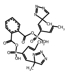 CC=CC(=CC1(C)C=NN=N1)P(=O)(O)OC(=O)c1ccccc1C(=O)OP(=O)(O)C(C=CC)=CC1(C)C=NN=N1